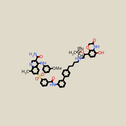 COc1cccc(Nc2c(C(N)=O)cnc3c(C)cc(S(=O)(=O)c4cccc(C(=O)Nc5cccc(-c6ccc(CCCCNCC(O[Si](C)(C)C(C)(C)C)c7ccc(O)c8c7OCC(=O)N8)cc6)c5)c4)cc23)c1